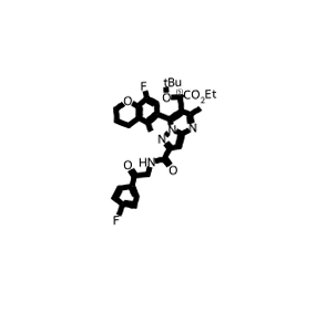 CCOC(=O)[C@@H](OC(C)(C)C)c1c(C)nc2cc(C(=O)NCC(=O)c3ccc(F)cc3)nn2c1-c1cc(F)c2c(c1C)CCCO2